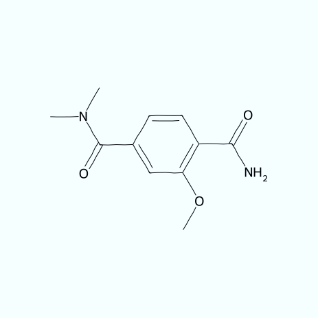 COc1cc(C(=O)N(C)C)ccc1C(N)=O